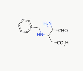 N[C@H](C=O)C(CC(=O)O)NCc1ccccc1